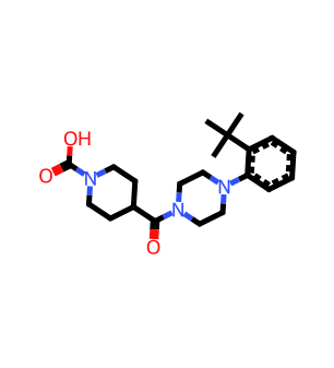 CC(C)(C)c1ccccc1N1CCN(C(=O)C2CCN(C(=O)O)CC2)CC1